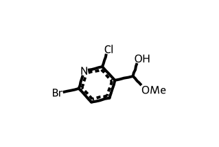 COC(O)c1ccc(Br)nc1Cl